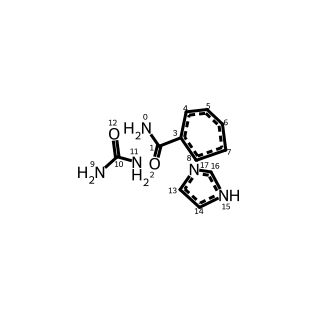 NC(=O)c1ccccc1.NC(N)=O.c1c[nH]cn1